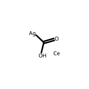 O=[C](O)[Ag].[Ce]